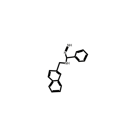 N=NC(NCc1ccc2ccccc2c1)c1ccccc1